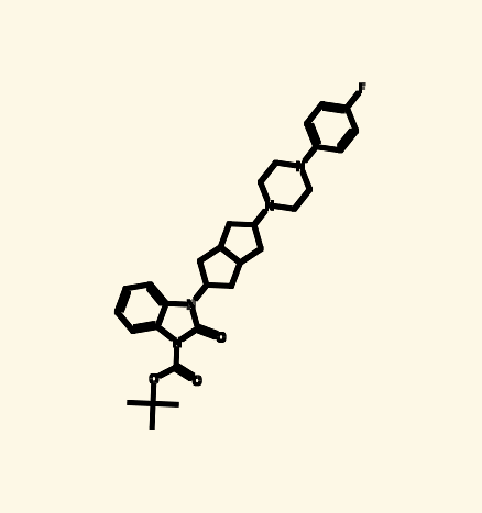 CC(C)(C)OC(=O)n1c(=O)n(C2CC3CC(N4CCN(c5ccc(F)cc5)CC4)CC3C2)c2ccccc21